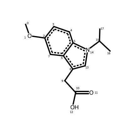 COc1ccc2c(c1)c(CC(=O)O)cn2C(C)C